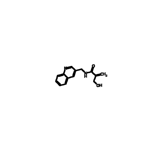 C=C(CO)C(=O)NCc1cnc2ccccc2c1